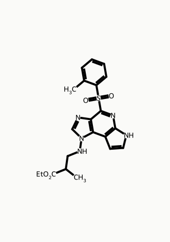 CCOC(=O)C(C)CNn1cnc2c(S(=O)(=O)c3ccccc3C)nc3[nH]ccc3c21